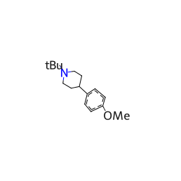 COc1ccc(C2CCN(C(C)(C)C)CC2)cc1